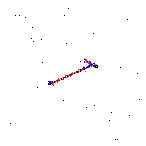 CCOCNC(=O)CN[C@H](CCc1ccccc1)NC(=O)CNCNC(=O)COCCOCCOCCOCCOCCOCCOCCOCCOCCNC(=O)C1CCCCC1